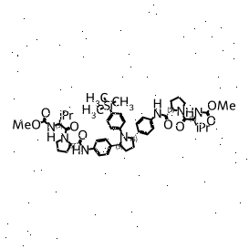 COC(=O)N[C@H](C(=O)N1CCC[C@H]1C(=O)Nc1ccc([C@@H]2CC[C@@H](c3ccc(NC(=O)[C@@H]4CCCN4C(=O)[C@@H](NC(=O)OC)C(C)C)cc3)N2c2ccc([Si](C)(C)C)cc2)cc1)C(C)C